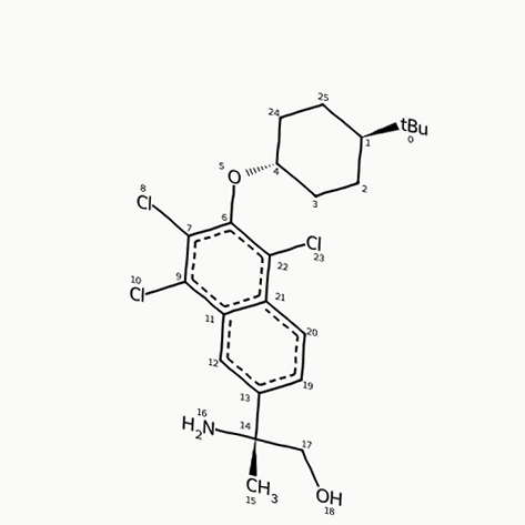 CC(C)(C)[C@H]1CC[C@H](Oc2c(Cl)c(Cl)c3cc([C@@](C)(N)CO)ccc3c2Cl)CC1